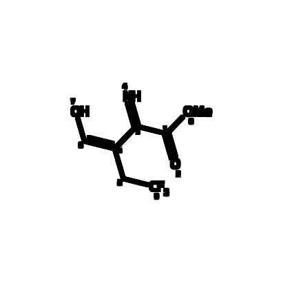 COC(=O)C(=N)/C(=C\O)CC(F)(F)F